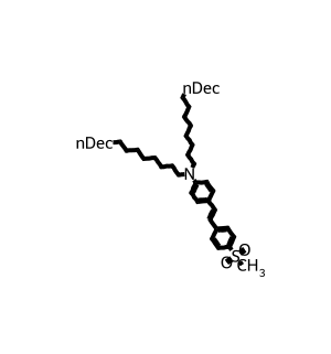 CCCCCCCCCCCCCCCCCCN(CCCCCCCCCCCCCCCCCC)c1ccc(C=Cc2ccc(S(C)(=O)=O)cc2)cc1